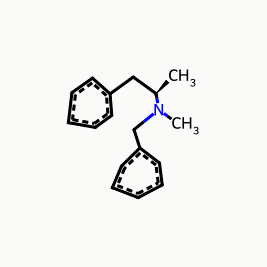 C[C@H](Cc1ccccc1)N(C)Cc1ccccc1